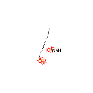 CCCCCCCCC=CCCCCCCCC(=O)OS(=O)(=O)O.O=S(=O)(O)O.[NaH]